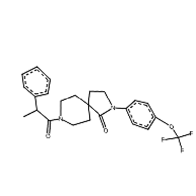 CC(C(=O)N1CCC2(CC1)CCN(c1ccc(OC(F)(F)F)cc1)C2=O)c1ccccc1